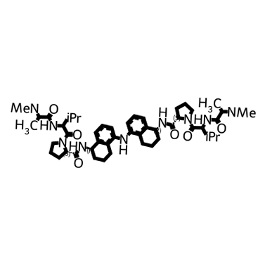 CNC(C)C(=O)NC(C(=O)N1CCC[C@H]1C(=O)N[C@@H]1CCCc2c(Nc3cccc4c3CCC[C@H]4NC(=O)[C@@H]3CCCN3C(=O)C(NC(=O)C(C)NC)C(C)C)cccc21)C(C)C